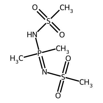 CP(C)(=NS(C)(=O)=O)NS(C)(=O)=O